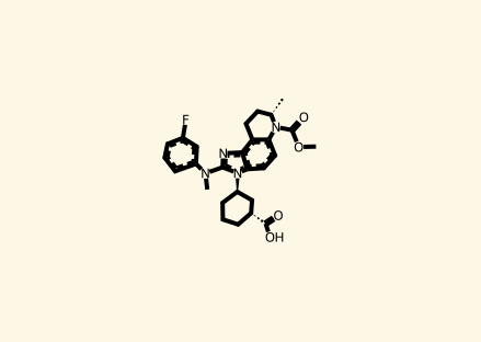 COC(=O)N1c2ccc3c(nc(N(C)c4cccc(F)c4)n3[C@@H]3CCC[C@@H](C(=O)O)C3)c2CC[C@@H]1C